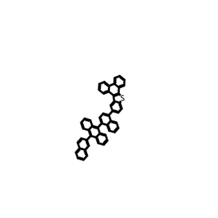 c1ccc2cc(-c3c4ccccc4c(-c4ccc(-c5ccc6sc7c8ccccc8c8ccccc8c7c6c5)c5ccccc45)c4ccccc34)ccc2c1